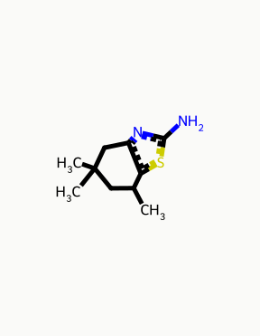 CC1CC(C)(C)Cc2nc(N)sc21